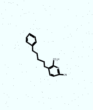 N#Cc1ccc(CCCCCc2ccccc2)c(C(=O)O)n1